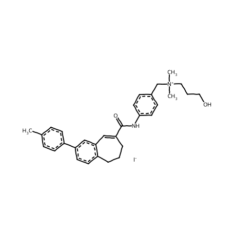 Cc1ccc(-c2ccc3c(c2)C=C(C(=O)Nc2ccc(C[N+](C)(C)CCCO)cc2)CCC3)cc1.[I-]